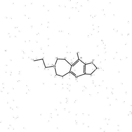 CCCN1CCc2nc3c(c(C)c2CC1)SCC3